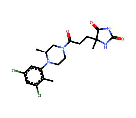 Cc1c(Cl)cc(Cl)cc1N1CCN(C(=O)CCC2(C)NC(=O)NC2=O)C[C@@H]1C